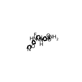 NS(=O)(=O)c1ccc(Nc2ncc(F)c(Nc3ccc(Oc4cccnc4)cc3)n2)cc1